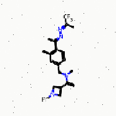 C=C(C1CN(C(C)C)C1)N(C)Cc1ccc(/C(C)=N/N=C(\C)C(F)(F)F)c(C)c1